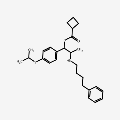 CC(C)Sc1ccc(C(OC(=O)C2CCC2)C(C)NCCCCc2ccccc2)cc1